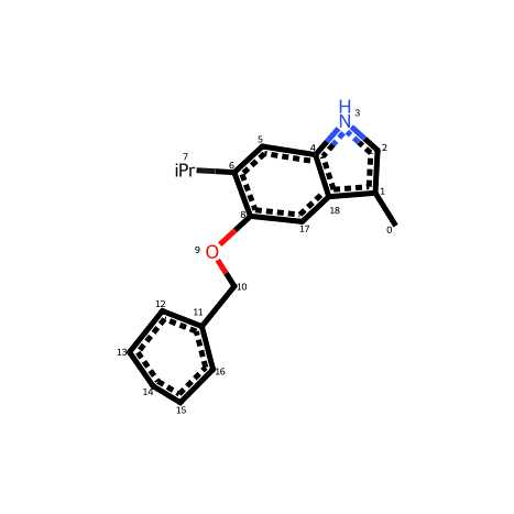 Cc1c[nH]c2cc(C(C)C)c(OCc3ccccc3)cc12